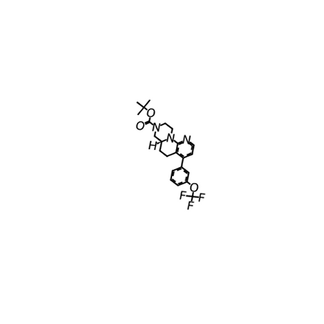 CC(C)(C)OC(=O)N1CCN2c3nccc(-c4cccc(OC(F)(F)F)c4)c3CC[C@@H]2C1